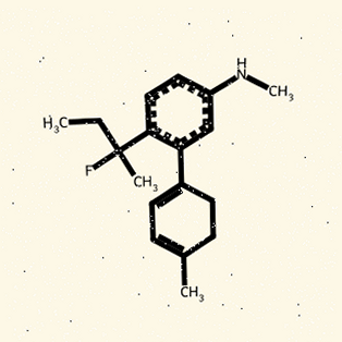 CCC(C)(F)c1ccc(NC)cc1C1=CC=C(C)CC1